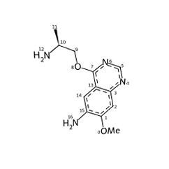 COc1cc2ncnc(OC[C@H](C)N)c2cc1N